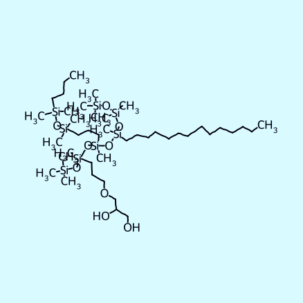 CCCCCCCCCCCCCC[Si](C)(O[Si](C)(C)O[Si](C)(C)C)O[Si](C)(CCC[Si](C)(C)O[Si](C)(C)CCCC)O[Si](C)(CCCOCC(O)CO)O[Si](C)(C)C